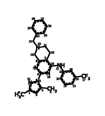 Cc1cc(C)n(-c2nc3c(c(Nc4cccc(C(F)(F)F)c4)n2)CCN(Cc2ccccc2)C3)n1